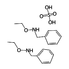 CCONCc1ccccc1.CCONCc1ccccc1.O=S(=O)(O)O